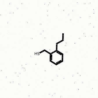 CCCc1ccccc1CS